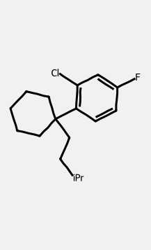 CC(C)CCC1(c2ccc(F)cc2Cl)CCCCC1